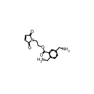 NCc1ccc(CN)c(C(=O)OCCN2C(=O)C=CC2=O)c1